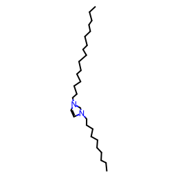 CCCCCCCCCCCCCCCCN1C=CN(CCCCCCCCCC)C1